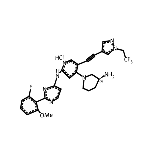 COc1cccc(F)c1-c1nccc(Nc2cc(N3CCC[C@H](N)C3)c(C#Cc3cnn(CC(F)(F)F)c3)cn2)n1.Cl